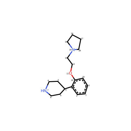 c1ccc(C2CCNCC2)c(OCCN2CCCC2)c1